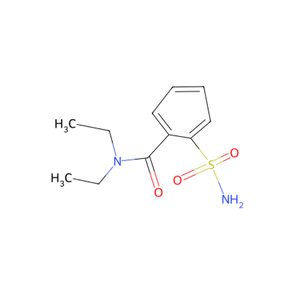 CCN(CC)C(=O)c1ccccc1S(N)(=O)=O